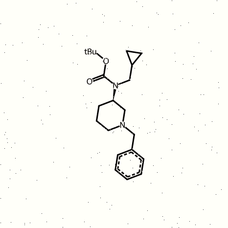 CC(C)(C)OC(=O)N(CC1CC1)[C@@H]1CCCN(Cc2ccccc2)C1